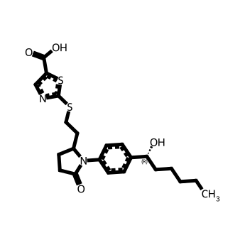 CCCCC[C@@H](O)c1ccc(N2C(=O)CCC2CCSc2ncc(C(=O)O)s2)cc1